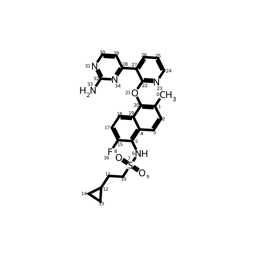 Cc1ccc2c(NS(=O)(=O)CCC3CC3)c(F)ccc2c1Oc1ncccc1-c1ccnc(N)n1